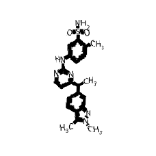 Cc1ccc(Nc2nccc(C(C)c3ccc4c(C)n(C)nc4c3)n2)cc1S(N)(=O)=O